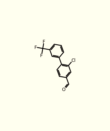 O=Cc1ccc(-c2cccc(C(F)(F)F)c2)c(Cl)c1